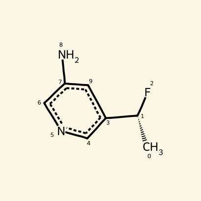 C[C@@H](F)c1cncc(N)c1